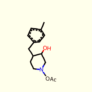 CC(=O)ON1CCC(Cc2ccc(C)cc2)C(O)C1